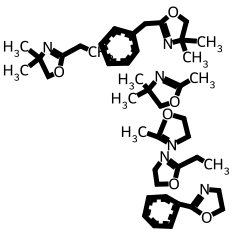 CC1(C)COC(Cc2ccccc2)=N1.CC1=NC(C)(C)CO1.CC1=NCCO1.CCC1=NC(C)(C)CO1.CCC1=NCCO1.c1ccc(C2=NCCO2)cc1